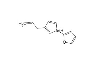 C=CCC1=C[SeH](c2ccco2)C=C1